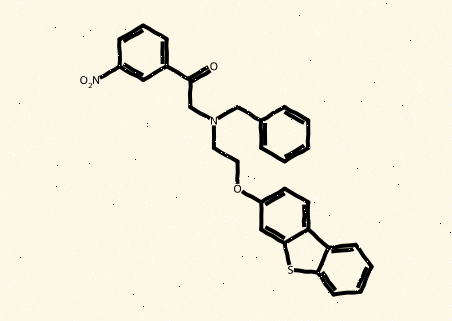 O=C(CN(CCOc1ccc2c(c1)sc1ccccc12)Cc1ccccc1)c1cccc([N+](=O)[O-])c1